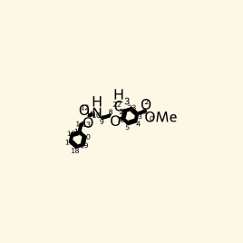 COC(=O)c1ccc(OCCNC(=O)OCc2ccccc2)c(C)c1